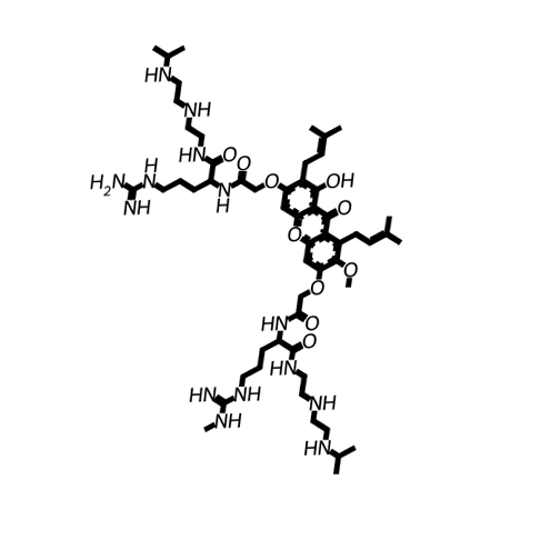 CNC(=N)NCCCC(NC(=O)COc1cc2oc3cc(OCC(=O)NC(CCCNC(=N)N)C(=O)NCCNCCNC(C)C)c(CC=C(C)C)c(O)c3c(=O)c2c(CC=C(C)C)c1OC)C(=O)NCCNCCNC(C)C